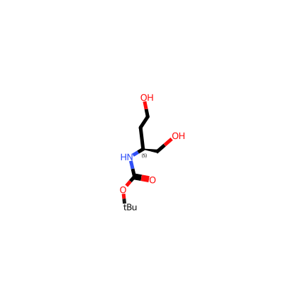 CC(C)(C)OC(=O)N[C@H](CO)CCO